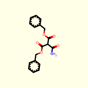 NC(=O)C(C(=O)OCc1ccccc1)C(=O)OCc1ccccc1